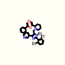 CCc1cccc(CC)c1-c1nc(-c2cccnc2)c(CN2CCCCC2C2=COC=C(C3=CC=CCC3)O2)n1CC